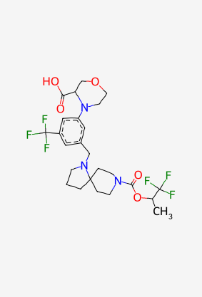 CC(OC(=O)N1CCC2(CCCN2Cc2cc(N3CCOCC3C(=O)O)cc(C(F)(F)F)c2)CC1)C(F)(F)F